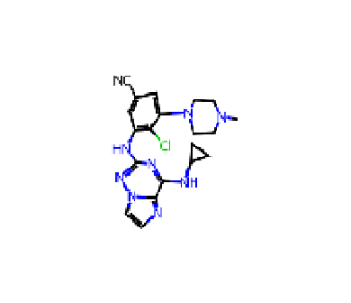 CN1CCN(c2cc(C#N)cc(Nc3nc(NC4CC4)c4nccn4n3)c2Cl)CC1